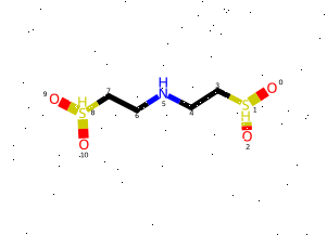 O=[SH](=O)CCNCC[SH](=O)=O